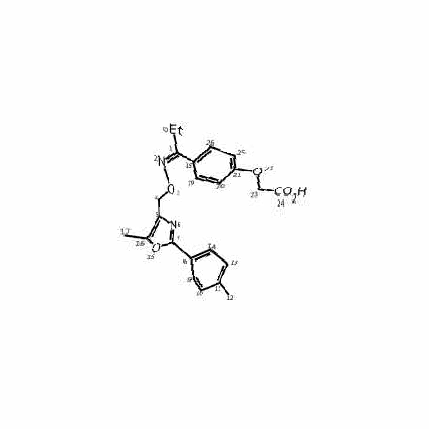 CC/C(=N/OCc1nc(-c2ccc(C)cc2)oc1C)c1ccc(OCC(=O)O)cc1